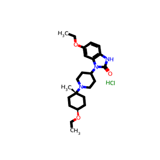 CCOc1ccc2[nH]c(=O)n(C3CCN([C@]4(C)CC[C@@H](OCC)CC4)CC3)c2c1.Cl